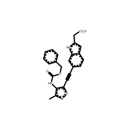 Cc1noc(C#Cc2ccc3cc(CC(=O)O)[nH]c3c2)c1NC(=O)OCc1ccccc1